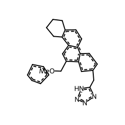 COCc1cc2c3c(ccc2c2ccc(Cc4nnn[nH]4)cc12)CCCC3.c1ccccc1